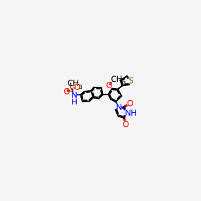 COc1c(-c2ccsc2)cc(-n2ccc(=O)[nH]c2=O)cc1-c1ccc2cc(NS(C)(=O)=O)ccc2c1